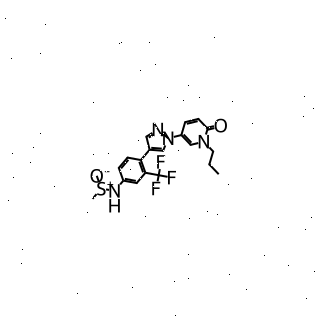 CCCn1cc(-n2cc(-c3ccc(N[S+](C)[O-])cc3C(F)(F)F)cn2)ccc1=O